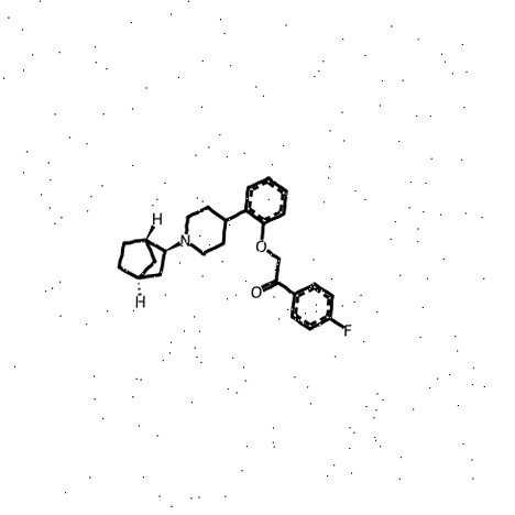 O=C(COc1ccccc1C1CCN([C@H]2C[C@H]3CC[C@H]2C3)CC1)c1ccc(F)cc1